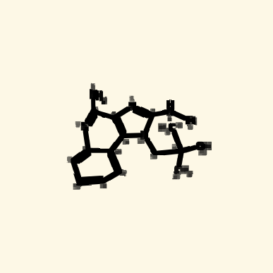 CCNc1nc2c(N)nc3ccccc3c2n1CC(C)(C)O